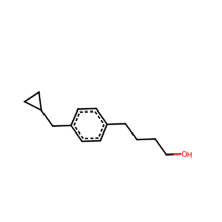 OCCCCc1ccc(CC2CC2)cc1